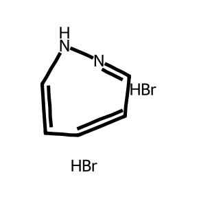 Br.Br.C1=CC=NNC=C1